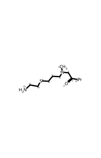 CC(C)C(=O)CN(C)CCCSCCN